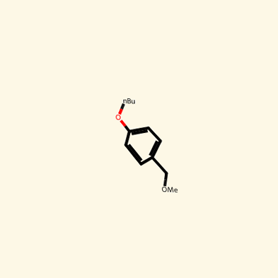 [CH2]OCc1ccc(OCCCC)cc1